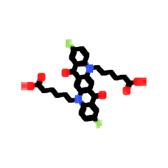 O=C(O)CCCCCn1c2ccc(F)cc2c(=O)c2cc3c(cc21)c(=O)c1cc(F)ccc1n3CCCCCC(=O)O